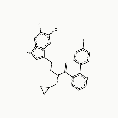 O=C(c1nccnc1-c1ccc(F)cc1)N(CCc1c[nH]c2cc(F)c(Cl)cc12)CC1CC1